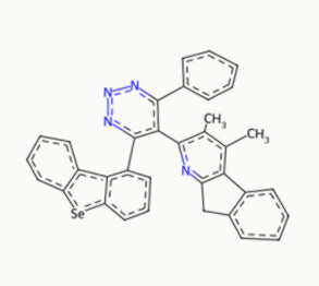 Cc1c(-c2c(-c3ccccc3)nnnc2-c2cccc3[se]c4ccccc4c23)nc2c(c1C)-c1ccccc1C2